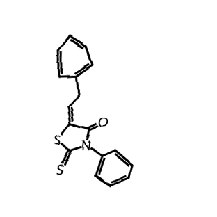 O=C1C(=CCc2ccccc2)SC(=S)N1c1ccccc1